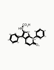 O=C(O)Nc1sc2c(ccc(=O)n2-c2ccccc2)c1-c1ccccc1